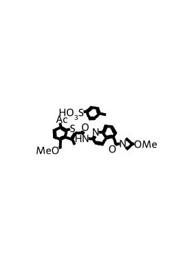 COCc1ccc(C(C)=O)c2sc(C(=O)Nc3ccc4c(C(=O)N5CC(OC)C5)cccc4n3)c(C)c12.Cc1ccc(S(=O)(=O)O)cc1